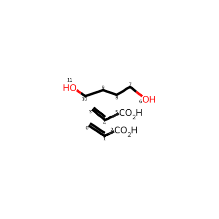 C=CC(=O)O.C=CC(=O)O.OCCCCO